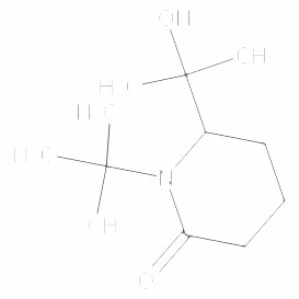 CC(C)(O)C1CCCC(=O)N1C(C)(C)C